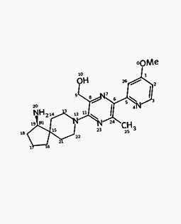 COc1ccnc(-c2nc(CO)c(N3CCC4(CCC[C@H]4N)CC3)nc2C)c1